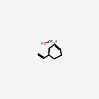 C=CC1CC=CCC1.O=S(=O)(O)O